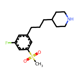 CS(=O)(=O)c1cc(F)cc(CCCC2CCNCC2)c1